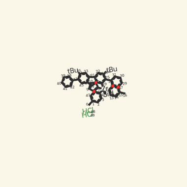 Cc1cc[c]([Zr](=[SiH2])([C]2=CC=CC2)([c]2ccc(C)cc2)[c]2c3c(cc(C(C)(C)C)c2-c2ccccc2)-c2cc(C(C)(C)C)c(-c4ccccc4)cc2C3)cc1.Cl.Cl